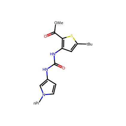 CCCn1ccc(NC(=O)Nc2cc(C(C)(C)C)sc2C(=O)OC)c1